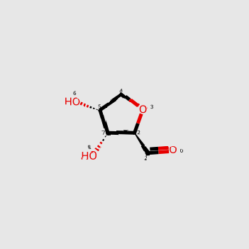 O=C[C@@H]1OC[C@@H](O)[C@H]1O